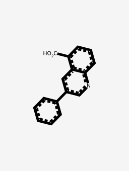 O=C(O)c1cccc2ncc(-c3ccccc3)cc12